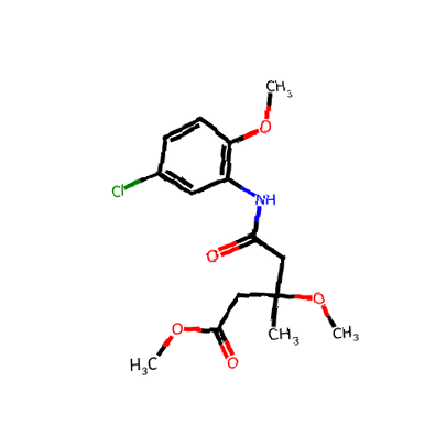 COC(=O)CC(C)(CC(=O)Nc1cc(Cl)ccc1OC)OC